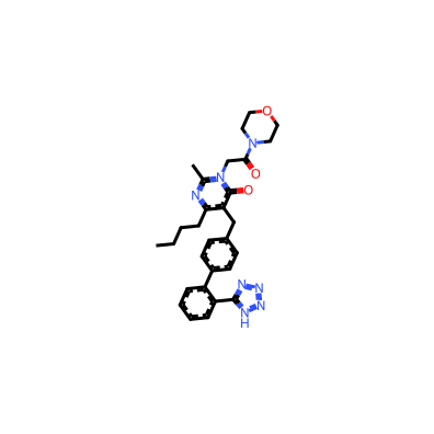 CCCCc1nc(C)n(CC(=O)N2CCOCC2)c(=O)c1Cc1ccc(-c2ccccc2-c2nnn[nH]2)cc1